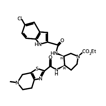 CCOC(=O)N1CC[C@@H](NC(=O)c2nc3c(s2)CN(C)CC3)[C@@H](NC(=O)c2cc3cc(Cl)ccc3[nH]2)C1